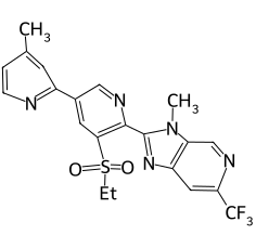 CCS(=O)(=O)c1cc(-c2cc(C)ccn2)cnc1-c1nc2cc(C(F)(F)F)ncc2n1C